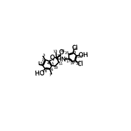 Cc1c(C)c2c(c(C)c1O)CCC(C)(C(=O)Nc1cc(Cl)c(O)c(Cl)c1)O2